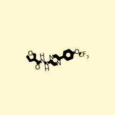 O=C(NNc1cnc(-c2ccc(OC(F)(F)F)cc2)cn1)C1CCOC1